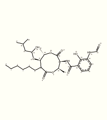 CCCCCCC1C(=O)O[C@H](C)[C@H](NC(=O)c2cccc(NC=O)c2O)C(=O)O[C@@H](C)[C@@H]1OC(O)CC(C)C